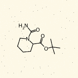 CC(C)(C)OC(=O)C1CCCCN1C(N)=O